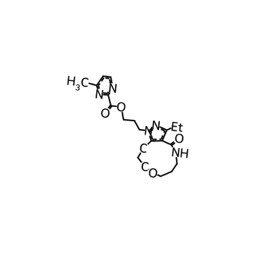 CCc1nn(CCCOC(=O)c2nccc(C)n2)c2c1C(=O)NCCCOCCC2